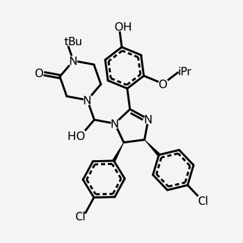 CC(C)Oc1cc(O)ccc1C1=N[C@@H](c2ccc(Cl)cc2)[C@@H](c2ccc(Cl)cc2)N1C(O)N1CCN(C(C)(C)C)C(=O)C1